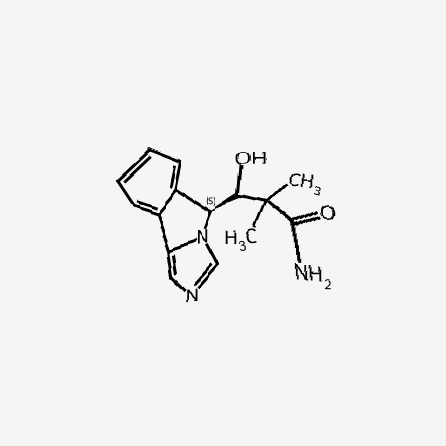 CC(C)(C(N)=O)C(O)[C@@H]1c2ccccc2-c2cncn21